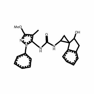 COc1nn(-c2ccccc2)c(NC(=O)NC2CC23c2ccccc2CC3O)c1C